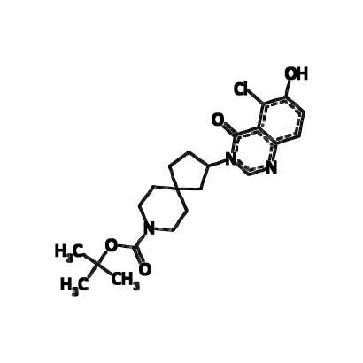 CC(C)(C)OC(=O)N1CCC2(CCC(n3cnc4ccc(O)c(Cl)c4c3=O)C2)CC1